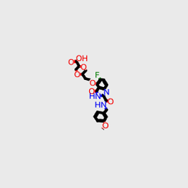 COc1cccc(CNC(=O)c2nc3ccc(F)c(OCCC4COC(C(=O)O)CO4)c3c(=O)[nH]2)c1